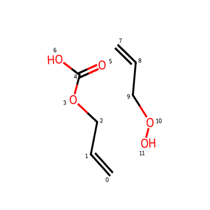 C=CCOC(=O)O.C=CCOO